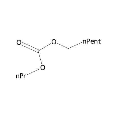 [CH2]CCCCCOC(=O)OCCC